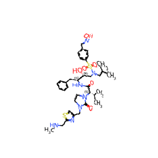 CNCc1nc(CN2CCN([C@H](C(=O)N[C@@H](Cc3ccccc3)[C@H](O)CN(CC(C)C)S(=O)(=O)c3ccc(C=NO)cc3)C(C)C)C2=O)cs1